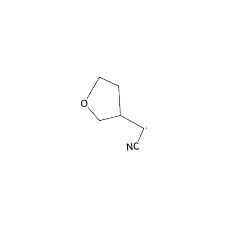 N#C[CH]C1CCOC1